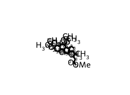 COC(=O)CC[C@@H](C)[C@H]1CCC2C3C(O[Si](C)(C)C)=CC4CC(O[Si](C)(C)C)CC[C@]4(C)C3CC[C@@]21C